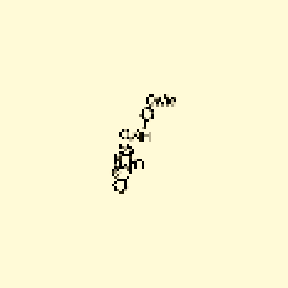 COc1ccc(CCNC(=O)c2cc3c(=O)n(Cc4ccccc4)c(=O)n(C)c3s2)cc1